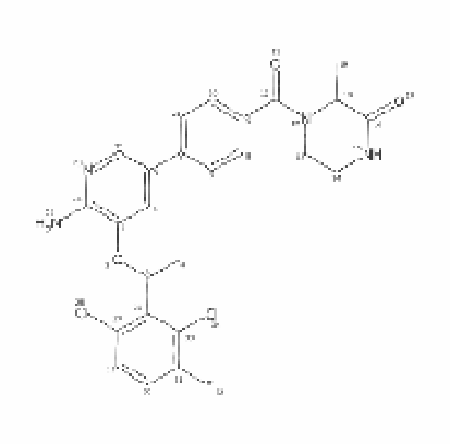 CC(Oc1cc(-c2ccc(C(=O)N3CCNC(=O)C3C)cc2)cnc1N)c1c(Cl)ccc(F)c1Cl